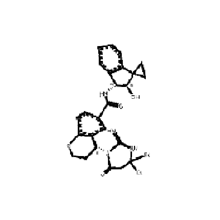 CCC1(CC)CC(=O)N([C@@H]2CCOc3ccc(C(=O)N[C@@H]4c5ccccc5C5(CC5)[C@H]4O)cc32)C(=N)N1